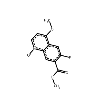 COC(=O)c1cc2c(cc1F)c(OC)cc[n+]2[O-]